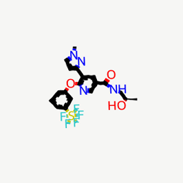 C[C@@H](O)CNC(=O)c1cnc(Oc2cccc(S(F)(F)(F)(F)F)c2)c(-c2ccn(C)n2)c1